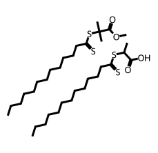 CCCCCCCCCCCCC(=S)SC(C)(C)C(=O)OC.CCCCCCCCCCCCC(=S)SC(C)C(=O)O